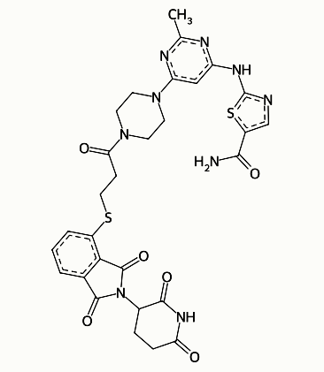 Cc1nc(Nc2ncc(C(N)=O)s2)cc(N2CCN(C(=O)CCSc3cccc4c3C(=O)N(C3CCC(=O)NC3=O)C4=O)CC2)n1